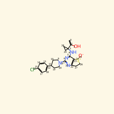 C=C(O)C1(Nc2nc(N3CCC(c4ccc(Cl)cc4)CC3)nc3c2[S+]([O-])CC3)CC1